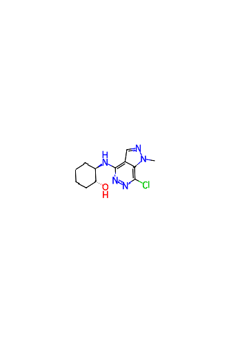 Cn1ncc2c(N[C@@H]3CCCC[C@H]3O)nnc(Cl)c21